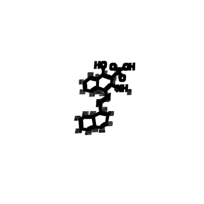 Nc1c(S(=O)(=O)O)c(O)c2ccccc2c1N=Nc1cccc2ccccc12